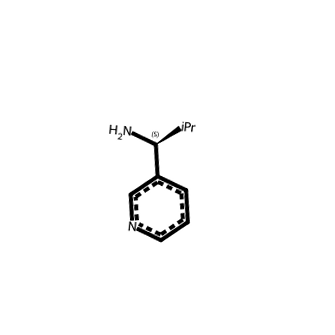 CC(C)[C@H](N)c1cccnc1